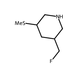 CSC1CNCC(CF)C1